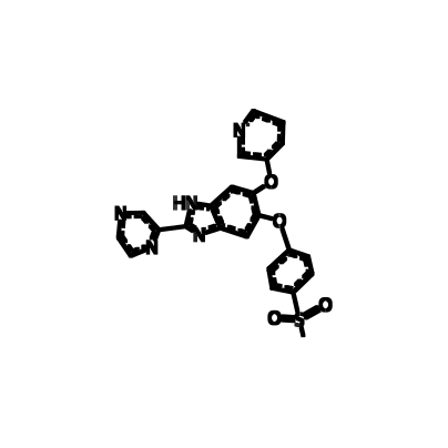 CS(=O)(=O)c1ccc(Oc2cc3nc(-c4cnccn4)[nH]c3cc2Oc2cccnc2)cc1